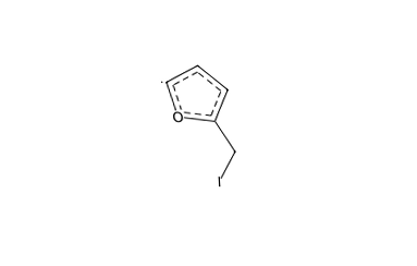 ICc1cc[c]o1